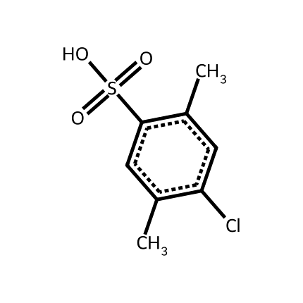 Cc1cc(S(=O)(=O)O)c(C)cc1Cl